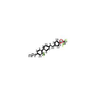 CCCc1ccc(-c2ccc(CCc3ccc(OC(F)F)cc3)cc2)c(F)c1